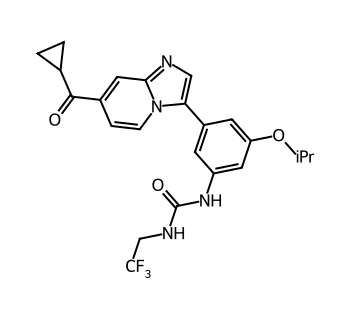 CC(C)Oc1cc(NC(=O)NCC(F)(F)F)cc(-c2cnc3cc(C(=O)C4CC4)ccn23)c1